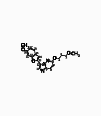 COCCCOc1ccc2ncc(-c3cc4ccc(OC)cc4o3)n2n1